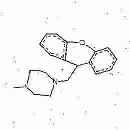 CN1CCN(CC2c3ccccc3Oc3ccccc32)CC1